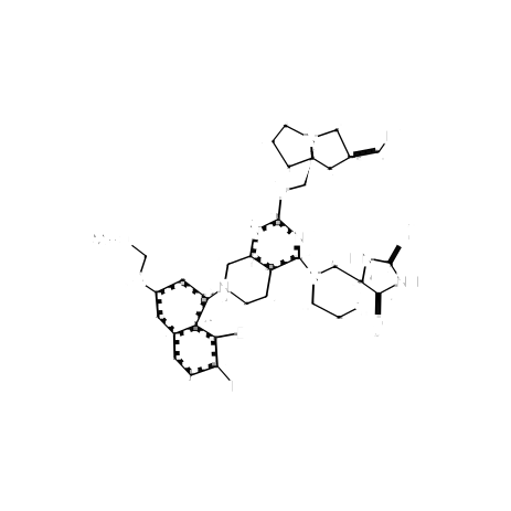 CCc1c(F)ccc2cc(OCOC)cc(N3CCc4c(nc(OC[C@@]56CCCN5C/C(=C\F)C6)nc4N4CCC[C@]5(C4)NC(=O)NC5=O)C3)c12